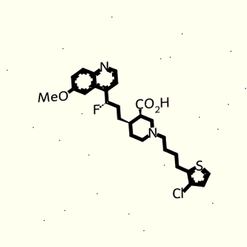 COc1ccc2nccc([C@@H](F)CC[C@@H]3CCN(CCCCc4sccc4Cl)C[C@@H]3C(=O)O)c2c1